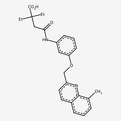 CCC(CC)(CC(=O)Nc1cccc(OCc2ccc3cccc(C)c3n2)c1)C(=O)O